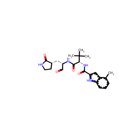 Cc1cccc2[nH]c(C(=O)N[C@H](C(=O)N[C@H](C=O)C[C@@H]3CCNC3=O)C(C)(C)C)cc12